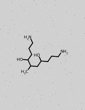 CC(CC(O)CCCN)C(O)CCCN